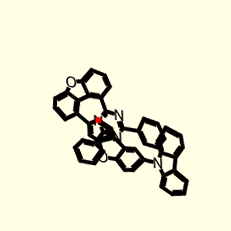 c1ccc(-c2nc(-c3ccccc3)nc(-c3cccc4oc5cccc(-c6ccc7c(c6)oc6ccc(-n8c9ccccc9c9ccccc98)cc67)c5c34)n2)cc1